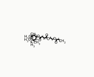 C=CC(=O)OCCOC(=O)CCC(=O)OC1CC(C)(C)N(C)C(C)(C)C1